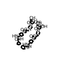 CCOC(=O)C(CC(=O)O)N1CCN(CC2CN(c3ccc(C(=N)NC(=O)c4ccccc4)cc3)C(=O)O2)CC1.CCOC(=O)C(CC(=O)O)N1CCN(CC2CN(c3ccc(C4=NOC(c5ccccc5)N4)cc3)C(=O)O2)CC1